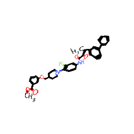 COC(=O)c1cccc(OCC2CCN(c3ccc(NC(=O)c4oc5ccc(-c6ccccc6)cc5c4C)cc3F)CC2)c1